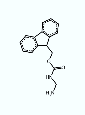 NCNC(=O)OCC1c2ccccc2-c2ccccc21